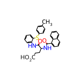 Cc1ccc(Sc2ccccc2NC(=O)C(CCC(=O)O)NC(=O)c2cccc3ccccc23)cc1